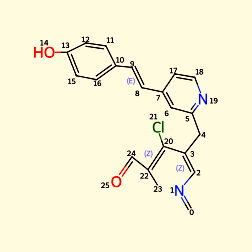 C=N/C=C(Cc1cc(/C=C/c2ccc(O)cc2)ccn1)\C(Cl)=C(/C)C=O